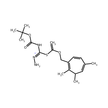 C=C(OCC1=C(C)C(C)C=C(C)C=C1)S/C(=N\N)NC(=O)OC(C)(C)C